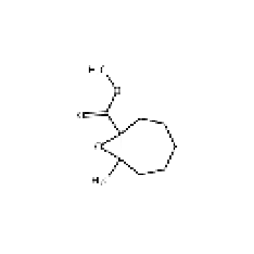 COC(=O)C12CCCCCC1(C)O2